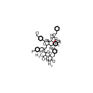 CC(C)[C@H](NC(=O)[C@@H](Cc1ccccc1)C(N)=O)C(=O)NN(Cc1ccc(F)cc1)CC(OC(=O)c1ccc(CCl)cc1)C(C(=O)[C@@H](NC(=O)OCc1ccccc1)C(C)C)C(N)c1ccc(F)cc1